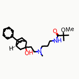 COC(C)(C)C(=O)NCCCN(C)CCC1(O)C[C@H]2CCC1C=C2c1ccccc1